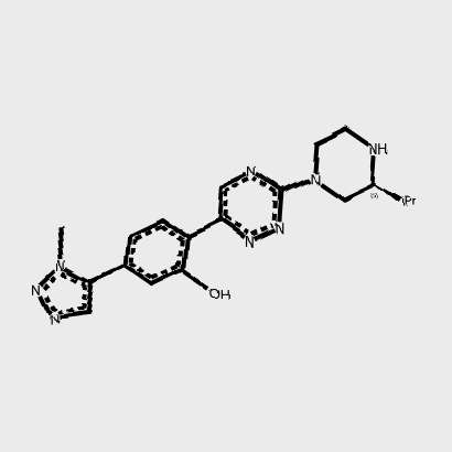 CC(C)[C@H]1CN(c2ncc(-c3ccc(-c4cnnn4C)cc3O)nn2)CCN1